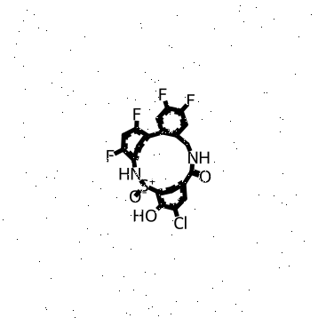 O=C1NCc2cc(F)c(F)cc2-c2cc(c(F)cc2F)N[S+]([O-])c2cc1cc(Cl)c2O